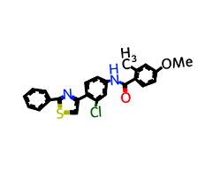 COc1ccc(C(=O)Nc2ccc(-c3csc(-c4ccccc4)n3)c(Cl)c2)c(C)c1